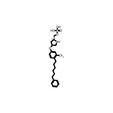 O=P(O)(O)OC[C@@H]1CC(Oc2ccc(CCCCCCc3ccccc3)c(C(F)(F)F)c2)CN1